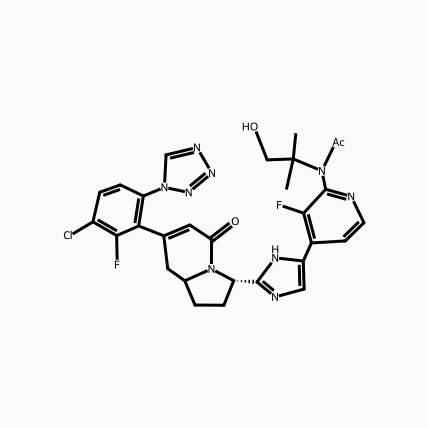 CC(=O)N(c1nccc(-c2cnc([C@@H]3CCC4CC(c5c(-n6cnnn6)ccc(Cl)c5F)=CC(=O)N43)[nH]2)c1F)C(C)(C)CO